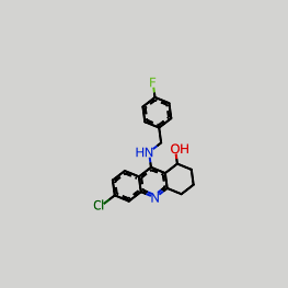 OC1CCCc2nc3cc(Cl)ccc3c(NCc3ccc(F)cc3)c21